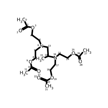 CC(=O)OCCN(CCOC(C)=O)CC(C)N(CCOC(C)=O)CCOC(C)=O